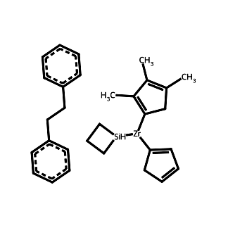 CC1=C(C)C(C)=[C]([Zr]([C]2=CC=CC2)[SiH]2CCC2)C1.c1ccc(CCc2ccccc2)cc1